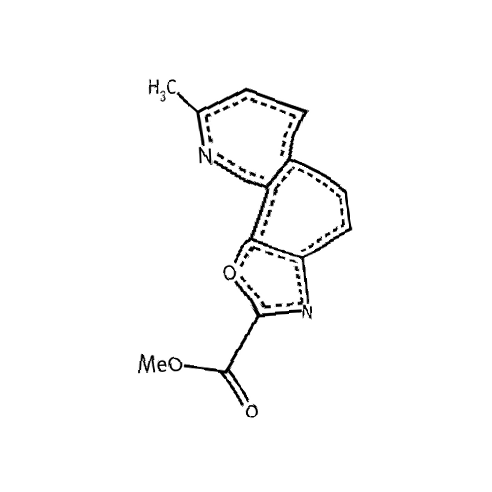 COC(=O)c1nc2ccc3ccc(C)nc3c2o1